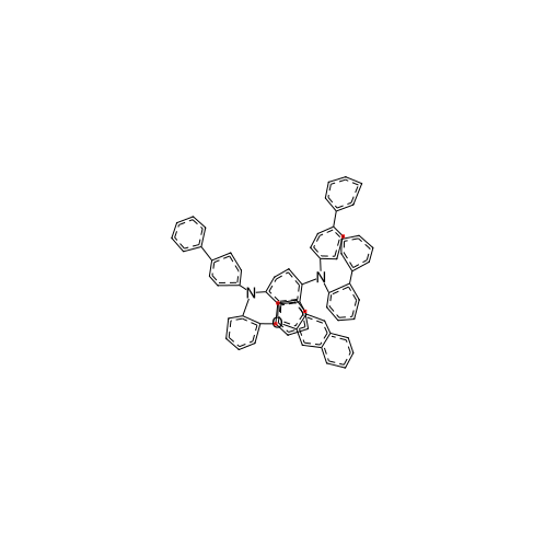 c1ccc(-c2ccc(N(c3ccccc3-c3ccccc3)c3ccc(N(c4ccc(-c5ccccc5)cc4)c4ccccc4-c4ccccc4)c4c3oc3cc5ccccc5cc34)cc2)cc1